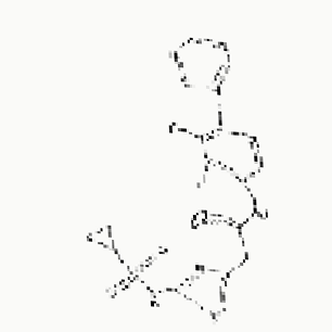 O=C(Cc1csc(NS(=O)(=O)C2CC2)n1)Nc1ccc(-c2cccnc2)c(F)c1F